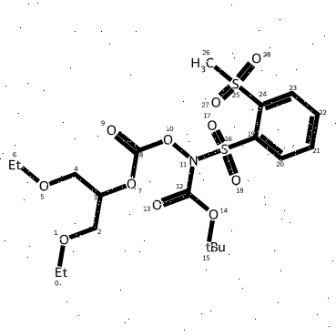 CCOCC(COCC)OC(=O)ON(C(=O)OC(C)(C)C)S(=O)(=O)c1ccccc1S(C)(=O)=O